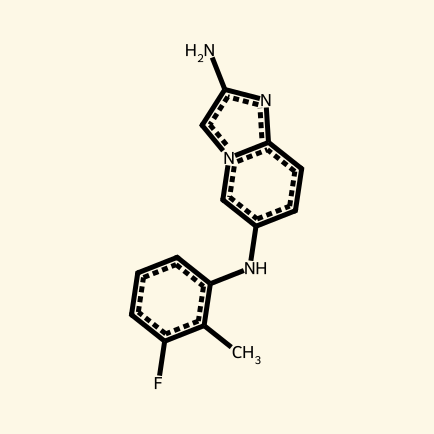 Cc1c(F)cccc1Nc1ccc2nc(N)cn2c1